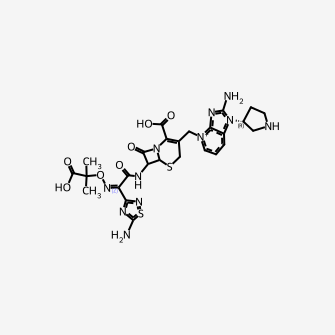 CC(C)(O/N=C(\C(=O)NC1C(=O)N2C(C(=O)O)=C(C[n+]3cccc4c3nc(N)n4[C@@H]3CCNC3)CSC12)c1nsc(N)n1)C(=O)O